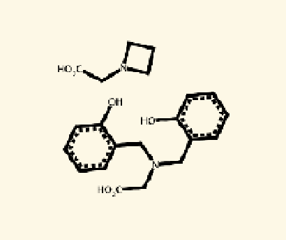 O=C(O)CN(Cc1ccccc1O)Cc1ccccc1O.O=C(O)CN1CCC1